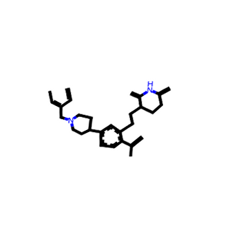 C=C/C(=C\C)CN1CCC(c2ccc(C(=C)C)c(CCC3CCC(=C)NC3=C)c2)CC1